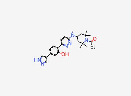 CCC(=O)N1C(C)(C)CC(N(C)c2ccc(-c3ccc(-c4cn[nH]c4)cc3O)nn2)CC1(C)C